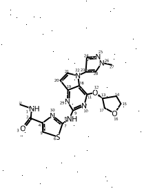 CNC(=O)c1csc(Nc2nc(O[C@H]3CCOC3)c3c(ccn3-c3cnn(C)c3)n2)n1